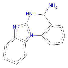 NC1Nc2nc3ccccc3n2-c2ccccc21